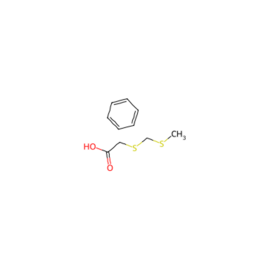 CSCSCC(=O)O.c1ccccc1